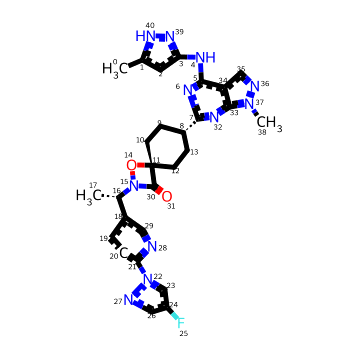 Cc1cc(Nc2nc([C@H]3CC[C@]4(CC3)ON([C@@H](C)c3ccc(-n5cc(F)cn5)nc3)C4=O)nc3c2cnn3C)n[nH]1